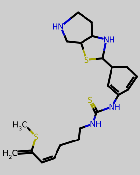 C=C(/C=C\CCCNC(=S)NC1=CC(C2NC3CCNCC3S2)CC=C1)SC